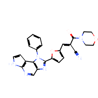 N#C/C(=C\c1ccc(-c2nc3cnc4[nH]ccc4c3n2-c2ccccc2)o1)C(=O)N1CCOCC1